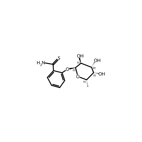 C[C@@H]1O[C@@H](Oc2ccccc2C(N)=S)[C@@H](O)[C@H](O)[C@@H]1O